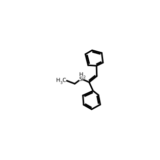 CC[SiH2]C(=Cc1ccccc1)c1ccccc1